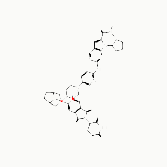 CN(C)C(=O)c1cc2cnc(Nc3ccc(N4CCC(CN5C6CCC5CN(c5cc7c(cc5F)C(=O)N(C5CCC(=O)NC5=O)C7=O)C6)CC4)cn3)nc2n1C1CCCC1